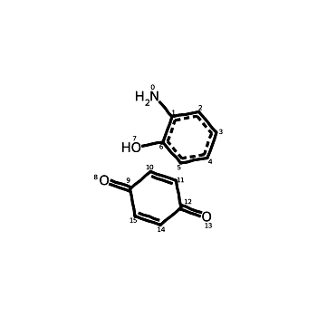 Nc1ccccc1O.O=C1C=CC(=O)C=C1